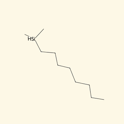 CCCCCCCC[SiH](C)C